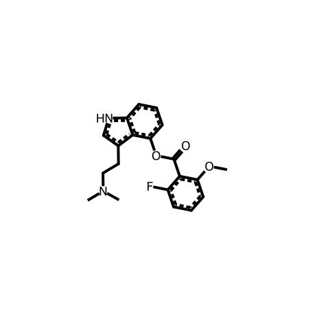 COc1cccc(F)c1C(=O)Oc1cccc2[nH]cc(CCN(C)C)c12